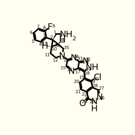 NC[C@]1(c2ccccc2F)[C@@H]2CCN(c3cnc4c(-c5ccc6c(=O)[nH]ncc6c5Cl)[nH]nc4n3)C[C@@H]21